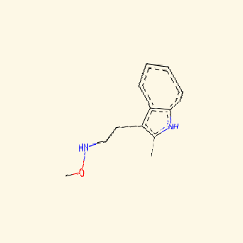 CONCCc1c(C)[nH]c2ccccc12